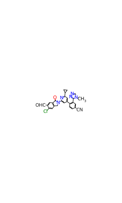 Cn1cnnc1-c1cc(C#N)ccc1-c1cc(C2CC2)nc(N2Cc3cc(Cl)c(C=O)cc3C2=O)c1